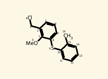 COc1c(CCl)cccc1Sc1ccccc1C